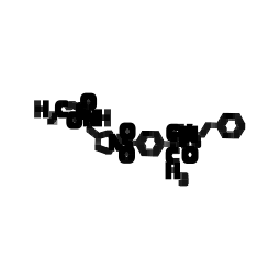 C=CS(=O)(=O)NCC1CCN(S(=O)(=O)c2ccc(C(C)(C)C(=O)NCCc3ccccc3)cc2)C1